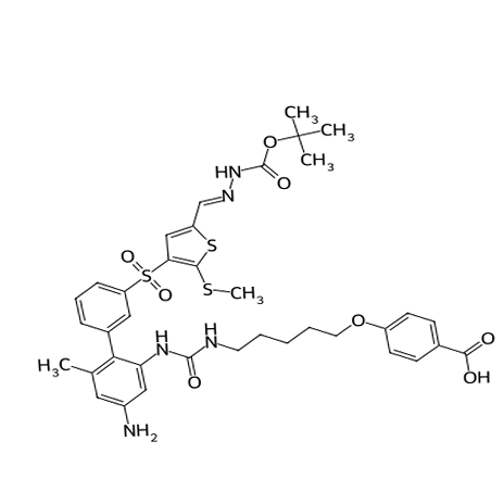 CSc1sc(C=NNC(=O)OC(C)(C)C)cc1S(=O)(=O)c1cccc(-c2c(C)cc(N)cc2NC(=O)NCCCCCOc2ccc(C(=O)O)cc2)c1